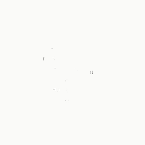 CCCS(=O)(=O)O.CS(F)(F)F.Cn1ccnc1